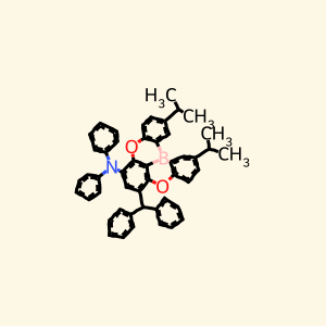 CC(C)c1ccc2c(c1)B1c3cc(C(C)C)ccc3Oc3c(N(c4ccccc4)c4ccccc4)cc(C(c4ccccc4)c4ccccc4)c(c31)O2